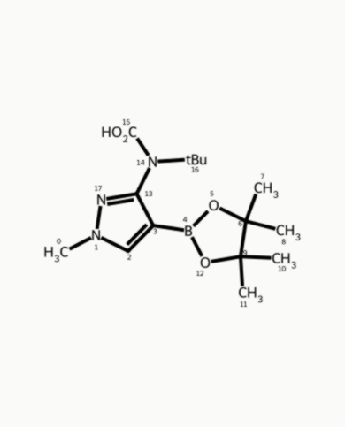 Cn1cc(B2OC(C)(C)C(C)(C)O2)c(N(C(=O)O)C(C)(C)C)n1